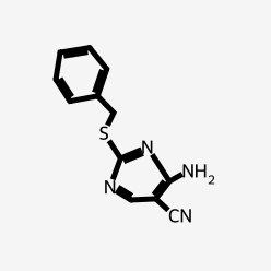 N#Cc1cnc(SCc2ccccc2)nc1N